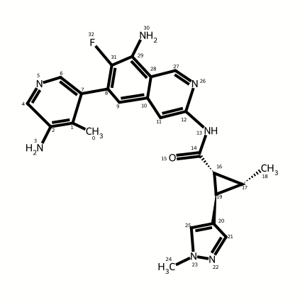 Cc1c(N)cncc1-c1cc2cc(NC(=O)[C@@H]3[C@H](C)[C@H]3c3cnn(C)c3)ncc2c(N)c1F